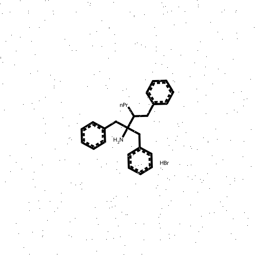 Br.CCCC(Cc1ccccc1)C(N)(Cc1ccccc1)Cc1ccccc1